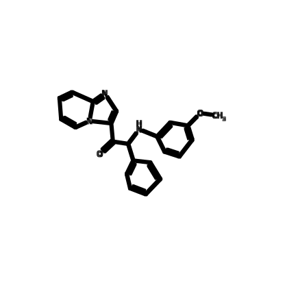 COc1cccc(NC(C(=O)c2cnc3ccccn23)c2ccccc2)c1